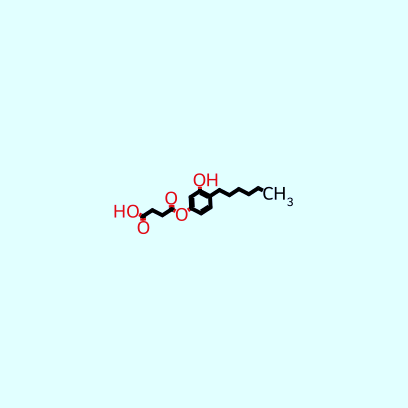 CCCCCCc1ccc(OC(=O)CCC(=O)O)cc1O